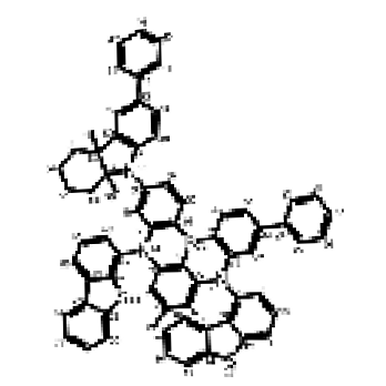 Cc1cc2c3c(c1)N(c1cccc4sc5ccccc5c14)c1cc(-c4ccccc4)ccc1B3c1ccc(N3c4ccc(-c5ccccc5)cc4C4(C)CCCCC34C)cc1N2c1cccc2c1sc1ccccc12